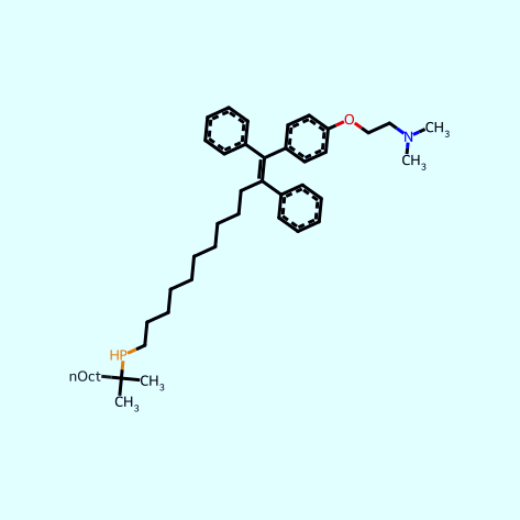 CCCCCCCCC(C)(C)PCCCCCCCCCC/C(=C(\c1ccccc1)c1ccc(OCCN(C)C)cc1)c1ccccc1